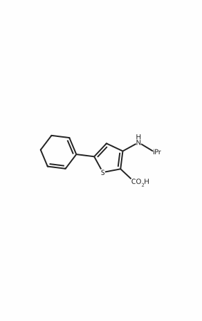 CC(C)Nc1cc(C2=CCCC=C2)sc1C(=O)O